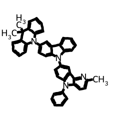 Cc1ccc2c(n1)c1cc(-n3c4ccccc4c4cc(N5c6ccccc6C(C)(C)c6ccccc65)ccc43)ccc1n2-c1ccccc1